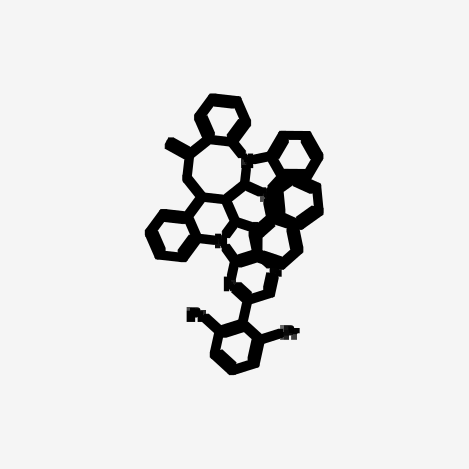 C=C1CC2c3ccccc3N3c4nc(-c5c(C(C)C)cccc5C(C)C)cnc4N(c4ccccc4)C3C2C2N(c3ccccc3)c3ccccc3N2c2ccccc21